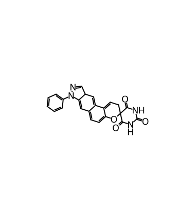 O=C1NC(=O)C2(CC=c3c(ccc4c3=CC3C=NN(c5ccccc5)C3=C4)O2)C(=O)N1